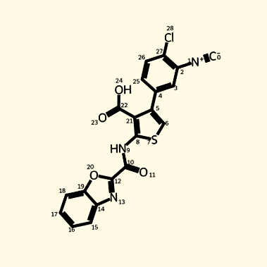 [C-]#[N+]c1cc(-c2csc(NC(=O)c3nc4ccccc4o3)c2C(=O)O)ccc1Cl